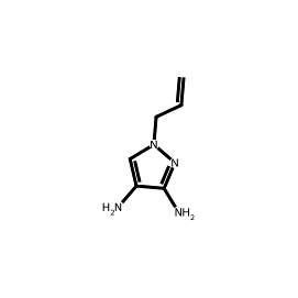 C=CCn1cc(N)c(N)n1